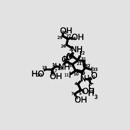 CC(=O)N(CC(O)CO)C1=C(I)C(C(=O)NCC(O)CO)C(I)(C(=O)NCC(O)CO)C=C1I